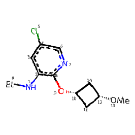 CCNc1cc(Cl)cnc1O[C@H]1C[C@@H](OC)C1